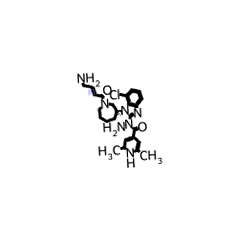 CC1=CC(C(=O)N(N)c2nc3cccc(Cl)c3n2[C@H]2CCCCN(C(=O)/C=C/CN)C2)=CC(C)N1